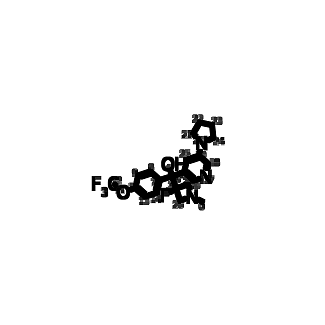 CN1CC(F)(C(O)(c2ccc(OC(F)(F)F)cc2)c2cncc(N3CCCC3)c2)C1